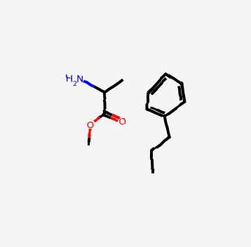 CCCc1ccccc1.COC(=O)C(C)N